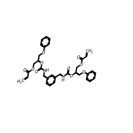 C=CC(=O)OCC(COc1ccccc1)OC(=O)NCc1cccc(CNC(=O)OC(COC(=O)C=C)COc2ccccc2)c1